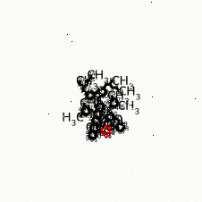 CCCCC(CC)Cc1ccc2c(c1)c1cc(CC(CC)CCCC)ccc1n2-c1cc2c3c(c1)N(c1cc(C)cc(C)c1)c1cc4c5c(c1B3c1c(cc3c6c1Oc1ccccc1B6c1ccccc1O3)N2c1cc(C)cc(C)c1)Oc1ccccc1B5c1ccccc1O4